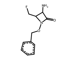 NC1C(=O)N(OCc2ccccc2)C1CF